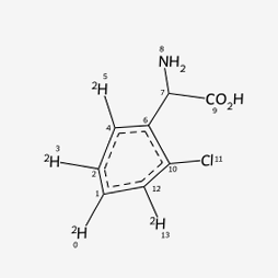 [2H]c1c([2H])c([2H])c(C(N)C(=O)O)c(Cl)c1[2H]